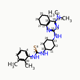 Cc1cccc(NC(=S)NC2CCC(Nc3nc4c(c(N(C)C)n3)CCCC4)CC2)c1C